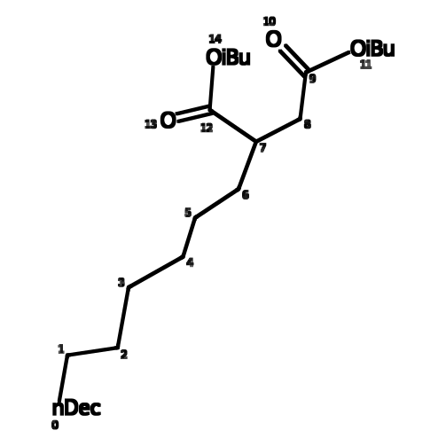 CCCCCCCCCCCCCCCCC(CC(=O)OCC(C)C)C(=O)OCC(C)C